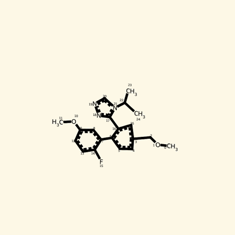 COCc1ccc(-c2cc(OC)ccc2F)c(-c2nncn2C(C)C)c1